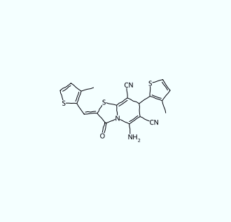 Cc1ccsc1/C=c1\sc2n(c1=O)C(N)=C(C#N)C(c1sccc1C)C=2C#N